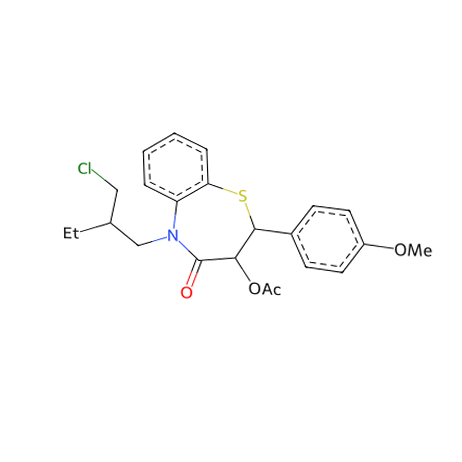 CCC(CCl)CN1C(=O)C(OC(C)=O)C(c2ccc(OC)cc2)Sc2ccccc21